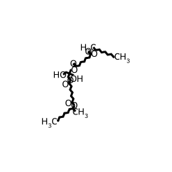 CCCCCCCC(C)OC(=O)CCCCCC(=O)OCC(CO)(CO)COC(=O)CCCCCC(=O)OC(C)CCCCCCC